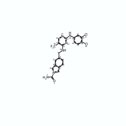 NC(=O)n1cc2ccc(CNc3nc(Nc4ccc(Cl)c(Cl)c4)ncc3C(F)(F)F)cc2c1